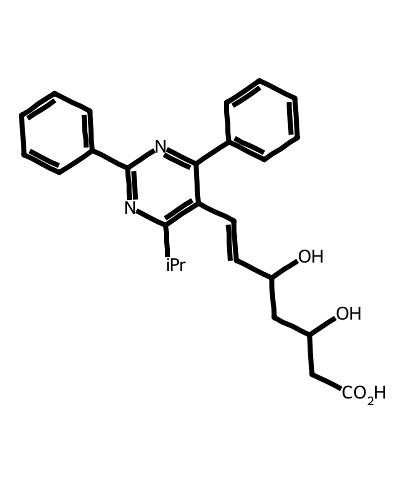 CC(C)c1nc(-c2ccccc2)nc(-c2ccccc2)c1/C=C/C(O)CC(O)CC(=O)O